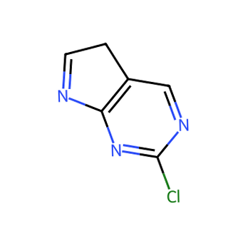 Clc1ncc2c(n1)N=CC2